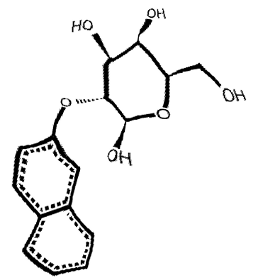 OC[C@H]1O[C@@H](O)[C@H](Oc2ccc3ccccc3c2)[C@@H](O)[C@H]1O